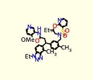 CC[C@@H]1CN(Cc2cc(C(CC(=O)Nc3cnccc3OC)c3ccc4c(nnn4CC)c3C)ccc2C)S(=O)(=O)c2cccnc2O1